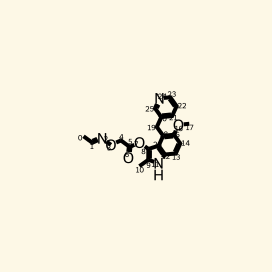 CC=NOCC(=O)Oc1c(C)[nH]c2ccc(OC)c(Cc3cccnc3)c12